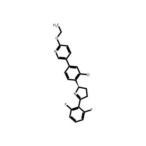 CCOc1ccc(-c2ccc([C@H]3CCC(c4c(F)cccc4F)=N3)c(Cl)c2)cn1